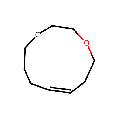 C1=CCCOCCCCCC1